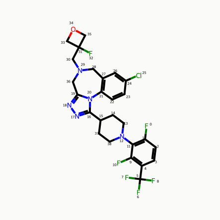 Fc1ccc(C(F)(F)F)c(F)c1N1CCC(c2nnc3n2-c2ccc(Cl)cc2CN(CC2(F)COC2)C3)CC1